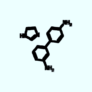 Nc1ccc(-c2cccc(N)c2)cc1.c1c[nH]cn1